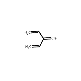 [CH]=C(C=C)C=C